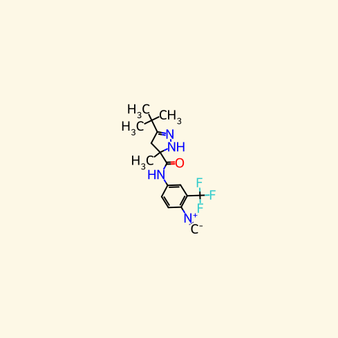 [C-]#[N+]c1ccc(NC(=O)C2(C)CC(C(C)(C)C)=NN2)cc1C(F)(F)F